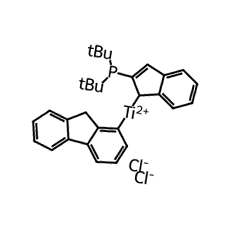 CC(C)(C)P(C1=Cc2ccccc2[CH]1[Ti+2][c]1cccc2c1Cc1ccccc1-2)C(C)(C)C.[Cl-].[Cl-]